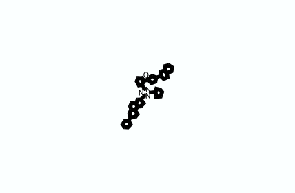 c1ccc(-c2ccc3c(ccc4cc(-c5nc(-c6ccccc6)nc(-c6cccc7oc8cc(-c9ccc%10ccccc%10c9)ccc8c67)n5)ccc43)c2)cc1